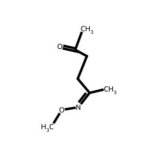 CON=C(C)CCC(C)=O